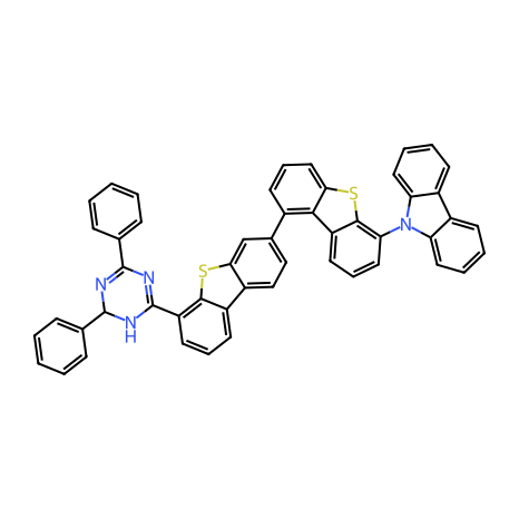 c1ccc(C2=NC(c3ccccc3)NC(c3cccc4c3sc3cc(-c5cccc6sc7c(-n8c9ccccc9c9ccccc98)cccc7c56)ccc34)=N2)cc1